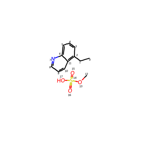 CCc1cccc2ncccc12.COS(=O)(=O)O